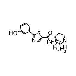 C[C@H]1[C@H](NC(=O)c2cnc(-c3cccc(O)c3)s2)C2CCN1CC2